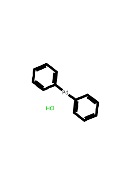 Cl.c1cc[c]([Pd][c]2ccccc2)cc1